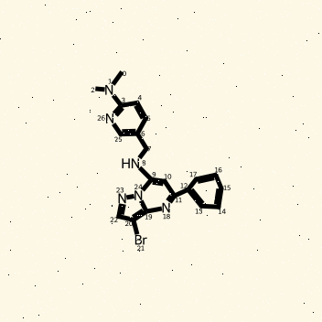 CN(C)c1ccc(CNc2cc(-c3ccccc3)nc3c(Br)cnn23)cn1